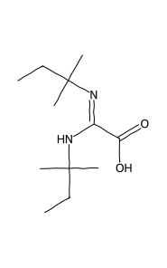 CCC(C)(C)N=C(NC(C)(C)CC)C(=O)O